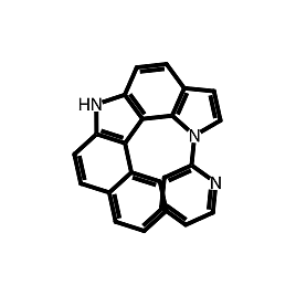 c1ccc(-n2ccc3ccc4[nH]c5ccc6ccccc6c5c4c32)nc1